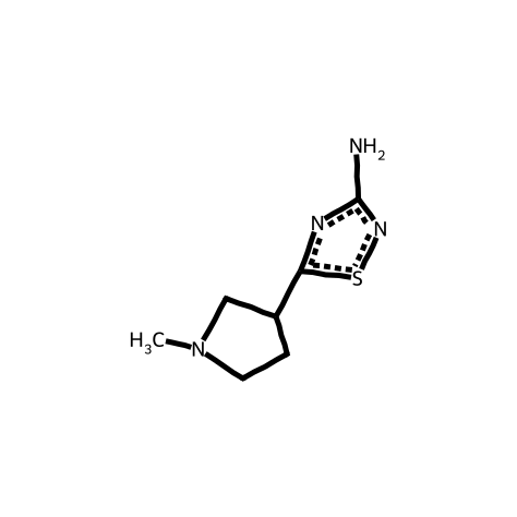 CN1CCC(c2nc(N)ns2)C1